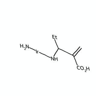 C=C(C(=O)O)C(CC)[NH][Ir][NH2]